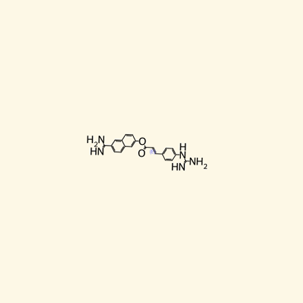 N=C(N)Nc1ccc(/C=C/C(=O)Oc2ccc3cc(C(=N)N)ccc3c2)cc1